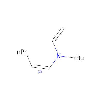 C=CN(/C=C\CCC)C(C)(C)C